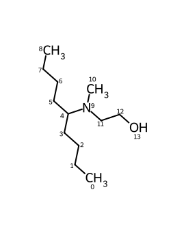 CCCCC(CCCC)N(C)CCO